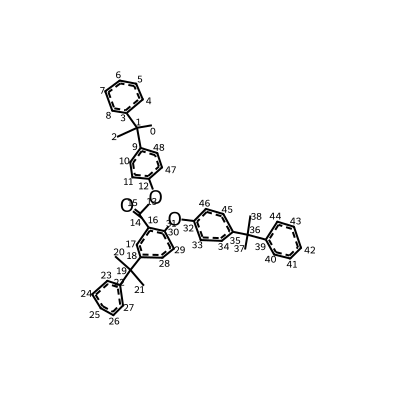 CC(C)(c1ccccc1)c1ccc(OC(=O)c2cc(C(C)(C)c3ccccc3)ccc2Oc2ccc(C(C)(C)c3ccccc3)cc2)cc1